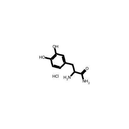 Cl.NC(=O)C(N)Cc1ccc(O)c(O)c1